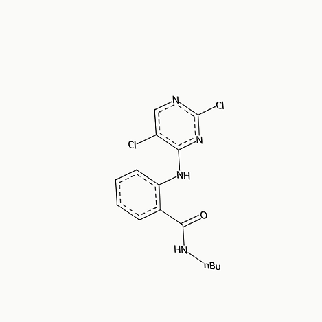 CCCCNC(=O)c1ccccc1Nc1nc(Cl)ncc1Cl